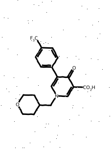 O=C(O)c1cn(CC2CCOCC2)cc(-c2ccc(C(F)(F)F)cc2)c1=O